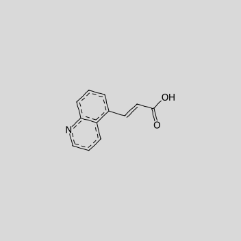 O=C(O)C=Cc1cccc2ncccc12